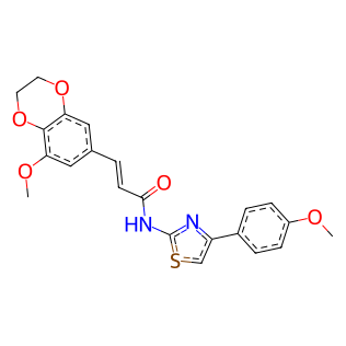 COc1ccc(-c2csc(NC(=O)C=Cc3cc(OC)c4c(c3)OCCO4)n2)cc1